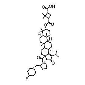 CC(C)C1=C2[C@H]3CC[C@@H]4[C@@]5(C)CC[C@H](OC(=O)[C@H]6C[C@@H](C(=O)O)C6(C)C)C(C)(C)[C@@H]5CC[C@@]4(C)[C@]3(C)CC[C@@]2(C(=O)N2CCCC2CN2CCC(F)CC2)CC1=O